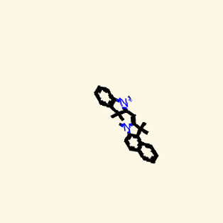 CN1C(=CC2=[N+](C)c3ccccc3C2(C)C)C(C)(C)c2c1ccc1ccccc21